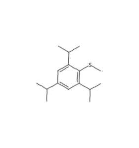 [CH2]Sc1c(C(C)C)cc(C(C)C)cc1C(C)C